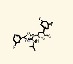 CC(C)N/C(=N/C(=O)c1cccc(F)c1)NC(N)CC(N)c1cc(F)cc(F)c1